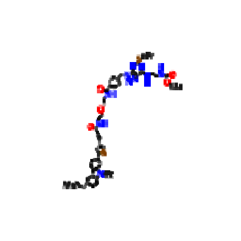 CCCSc1nc(NCCNC(=O)OC(C)(C)C)c2nnn(Cc3ccc(C(=O)NCCOCCNC(=O)C#Cc4csc(-c5ccc6c7cc(CNC)ccc7n(CC)c6c5)c4)cc3)c2n1